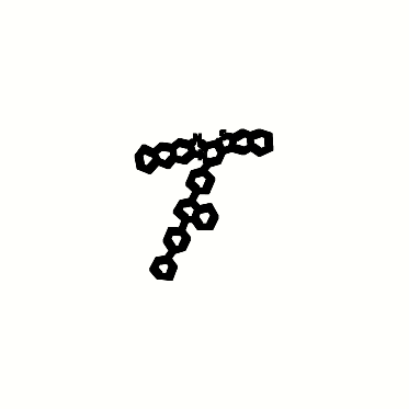 c1ccc(-c2ccc(-c3ccc(-c4ccc(-c5cc6c7cc8ccccc8cc7sc6c6nc7cc8cc9ccccc9cc8cc7n56)cc4)c4ccccc34)cc2)cc1